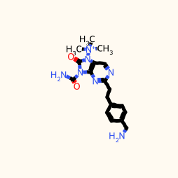 C[N+](C)(C)n1c(=O)n(C(N)=O)c2nc(CCc3ccc(CN)cc3)ncc21